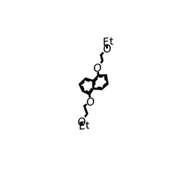 CCOCCOc1cccc2c(OCCOCC)cccc12